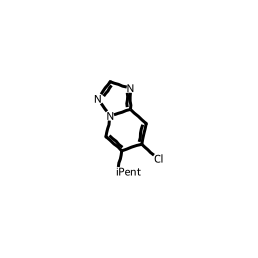 CCCC(C)c1cn2ncnc2cc1Cl